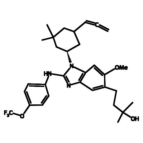 C=C=CC1C[C@H](n2c(Nc3ccc(OC(F)(F)F)cc3)nc3cc(CCC(C)(C)O)c(OC)cc32)CC(C)(C)C1